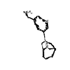 NCc1cncc(N2CC3CCC(C2)N3)c1